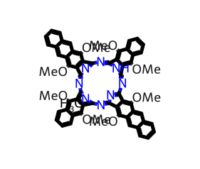 COc1c2c(c(OC)c3cc4ccccc4cc13)-c1nc-2nc2[nH]c(nc3nc(nc4c5c(OC)c6ccccc6c(OC)c5c(n1)n4C)-c1c-3c(OC)c3cc4ccccc4cc3c1OC)c1c(OC)c3ccccc3c(OC)c21